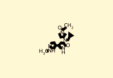 C=CC(=O)N1CCC(N(CC2CC2)c2cc(-c3ccnc(NC)c3)c[nH]c2=O)C1